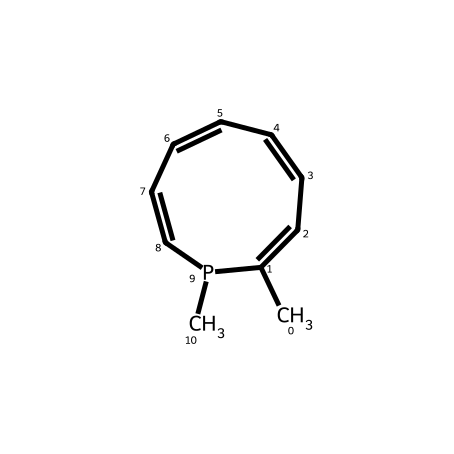 Cc1cccccccp1C